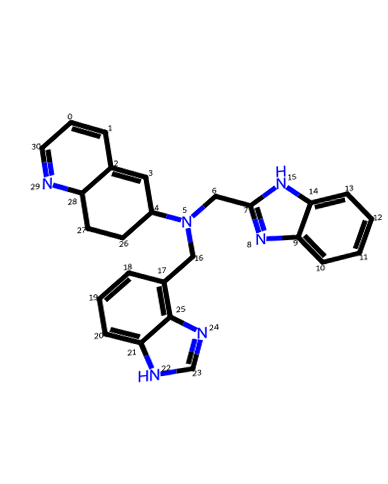 C1=CC2=CC(N(Cc3nc4ccccc4[nH]3)Cc3cccc4[nH]cnc34)CCC2N=C1